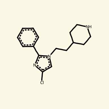 Clc1cn(CCC2CCNCC2)c(-c2ccccc2)n1